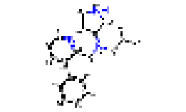 CC(C)CN(Cc1ncccc1-c1ccccc1)[C@H]1CCNC1